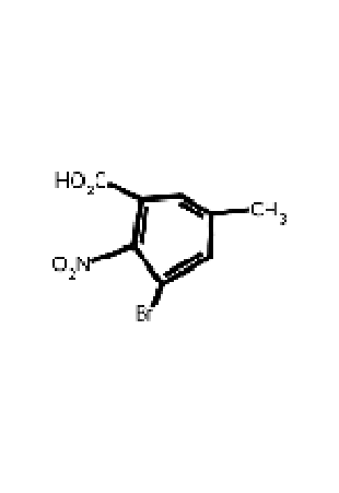 Cc1cc(Br)c([N+](=O)[O-])c(C(=O)O)c1